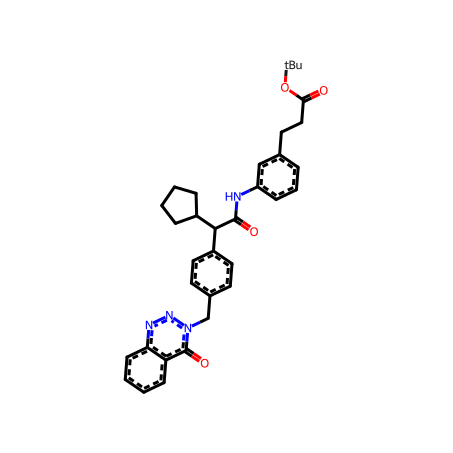 CC(C)(C)OC(=O)CCc1cccc(NC(=O)C(c2ccc(Cn3nnc4ccccc4c3=O)cc2)C2CCCC2)c1